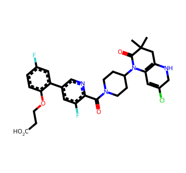 CC1(C)CC2=C(C=C(Cl)CN2)N(C2CCN(C(=O)c3ncc(-c4cc(F)ccc4OCCC(=O)O)cc3F)CC2)C1=O